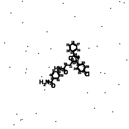 NC(=O)c1ccc(NC(=O)CCc2oc(-c3ccccc3)nc2-c2ccc(Cl)cc2)cc1